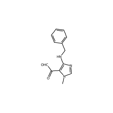 Cn1cnc(NCc2ccccc2)c1C(=O)C=O